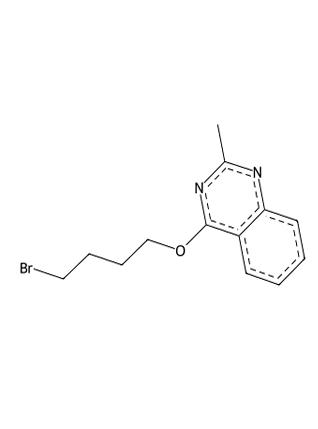 Cc1nc(OCCCCBr)c2ccccc2n1